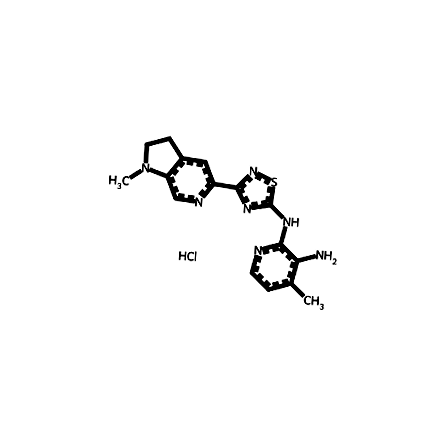 Cc1ccnc(Nc2nc(-c3cc4c(cn3)N(C)CC4)ns2)c1N.Cl